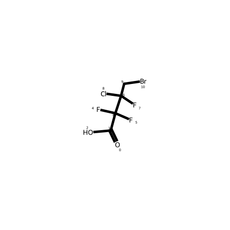 O=C(O)C(F)(F)C(F)(Cl)CBr